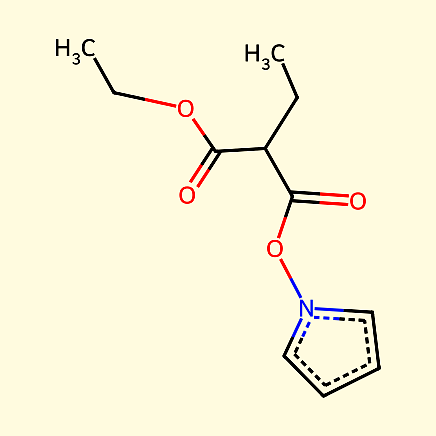 CCOC(=O)C(CC)C(=O)On1cccc1